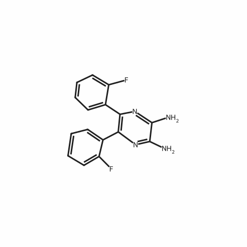 Nc1nc(-c2ccccc2F)c(-c2ccccc2F)nc1N